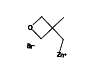 CC1([CH2][Zn+])COC1.[Br-]